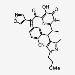 COCCn1cc([C@@H](c2ccccc2C#N)[C@H](C)c2nc(C(=O)Nc3cnoc3)c(O)c(=O)n2C)c(C)n1